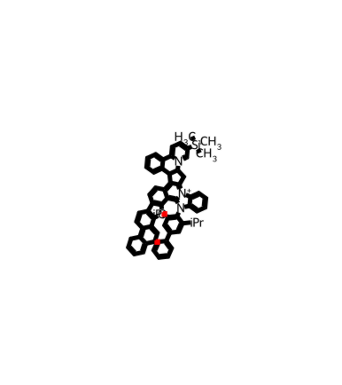 CC(C)c1cc(-c2ccccc2)cc(C(C)C)c1-n1c2ccccc2[n+]2c3c(c4ccc5c6ccc7c(c6oc5c4c12)=CCC1=CC=CCC=71)C1c2ccccc2-c2ccc([Si](C)(C)C)c[n+]2C1C3